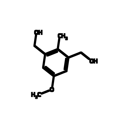 COc1cc(CO)c(C)c(CO)c1